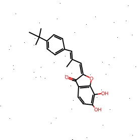 CC(=C\c1ccc(C(C)(C)C)cc1)/C=C1/Oc2c(ccc(O)c2O)C1=O